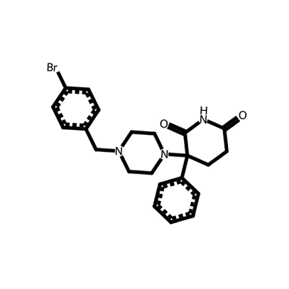 O=C1CCC(c2ccccc2)(N2CCN(Cc3ccc(Br)cc3)CC2)C(=O)N1